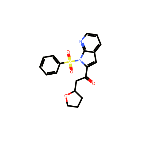 O=C(CC1CCCO1)c1cc2cccnc2n1S(=O)(=O)c1ccccc1